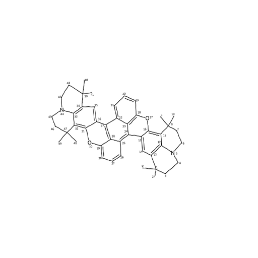 CC1(C)CCN2CCC(C)(C)c3c2c1cc1c3oc2cccc3c2c1c1cccc2oc4c5c6c(cc4c3c21)C(C)(C)CCN6CCC5(C)C